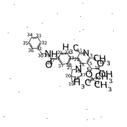 Cc1nc(C)c([C@H](OC(C)(C)C)C(=O)O)c(N2CC3CC3C2)c1-c1ccc(C(=O)NCc2ccccc2)cc1